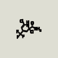 NC(=O)C1(Cl)C=C(C(F)(F)F)C=C(Cl)N1